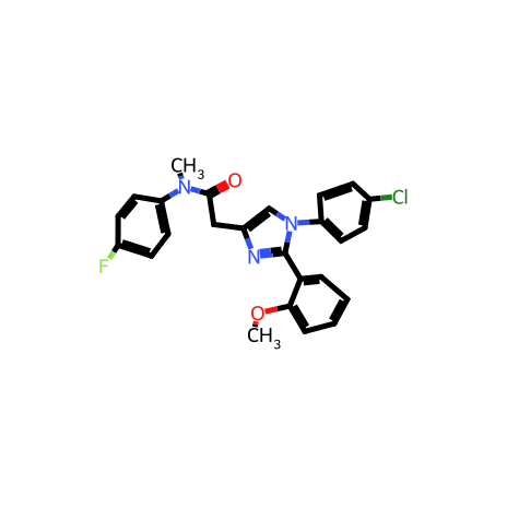 COc1ccccc1-c1nc(CC(=O)N(C)c2ccc(F)cc2)cn1-c1ccc(Cl)cc1